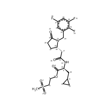 CS(=O)(=O)CCOC(=O)[C@H](CC1CC1)NC(=O)C[C@@H]1CCC(=O)N1Cc1cc(F)cc(F)c1F